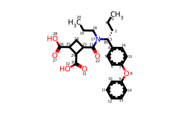 CCC[C@H](c1ccc(Oc2ccccc2)cc1)N(CCC)C(=O)C1CC(C(=O)O)C1C(=O)O